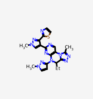 CCC1c2nnc(C)n2-c2cnc(-c3cn(C)nc3-c3nccs3)nc2N1c1ccn(C)n1